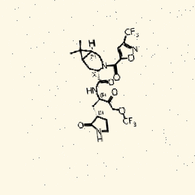 CC1(C)C2C[C@@H](C(=O)N[C@H](C[C@@H]3CCNC3=O)C(=O)COC(F)(F)F)N(C(=O)c3cc(C(F)(F)F)no3)C[C@@H]21